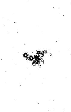 C=CC(=O)N1CCC[C@H]1Cn1nc(-c2ccc(Oc3ccccc3)cc2)c2c(C=C)n[nH]c(=O)c21